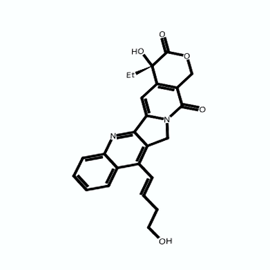 CC[C@@]1(O)C(=O)OCc2c1cc1n(c2=O)Cc2c-1nc1ccccc1c2/C=C/CCO